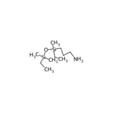 CC[Si](C)(C)O[Si](C)(CC)CCCN